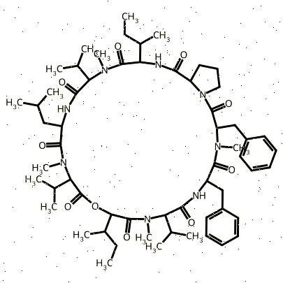 CCC(C)C1NC(=O)C2CCCN2C(=O)C(Cc2ccccc2)N(C)C(=O)C(Cc2ccccc2)NC(=O)C(C(C)C)N(C)C(=O)C(C(C)CC)OC(=O)C(C(C)C)N(C)C(=O)C(CC(C)C)NC(=O)C(C(C)C)N(C)C1=O